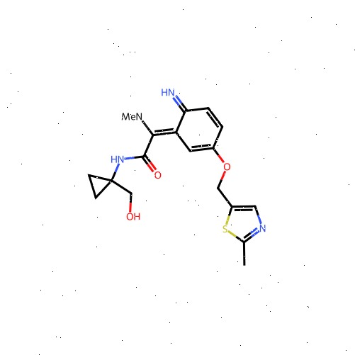 CN/C(C(=O)NC1(CO)CC1)=C1/C=C(OCc2cnc(C)s2)C=CC1=N